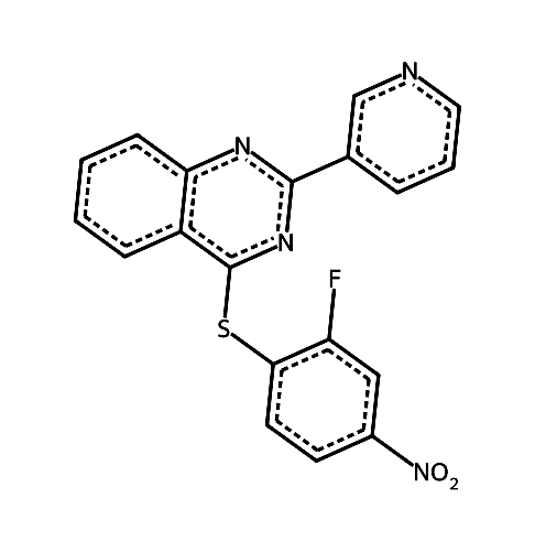 O=[N+]([O-])c1ccc(Sc2nc(-c3cccnc3)nc3ccccc23)c(F)c1